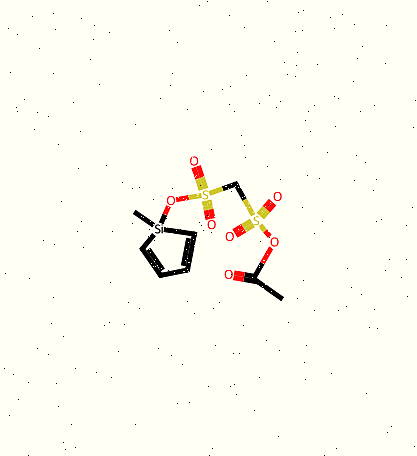 CC(=O)OS(=O)(=O)CS(=O)(=O)O[Si]1(C)C=CC=C1